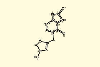 O=c1[nH]c2ncn(CC3=CN(O)CO3)c(=O)c2[nH]1